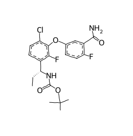 CC[C@@H](NC(=O)OC(C)(C)C)c1ccc(Cl)c(Oc2ccc(F)c(C(N)=O)c2)c1F